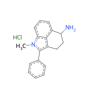 Cl.Cn1c(-c2ccccc2)c2c3c(cccc31)C(N)CC2